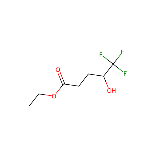 CCOC(=O)CCC(O)C(F)(F)F